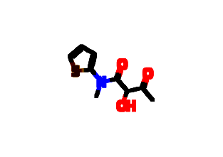 CC(=O)C(O)C(=O)N(C)c1cccs1